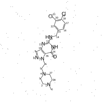 CN1CCN(CCn2ncc3nc(NCc4ccc(Cl)c(Cl)c4)[nH]c(=O)c32)CC1